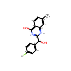 Oc1nc(C(O)c2ccc(F)cc2)nc2cc(C(F)(F)F)ccc12